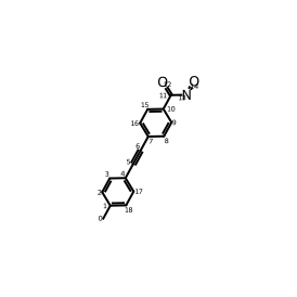 Cc1ccc(C#Cc2ccc(C(=O)N=O)cc2)cc1